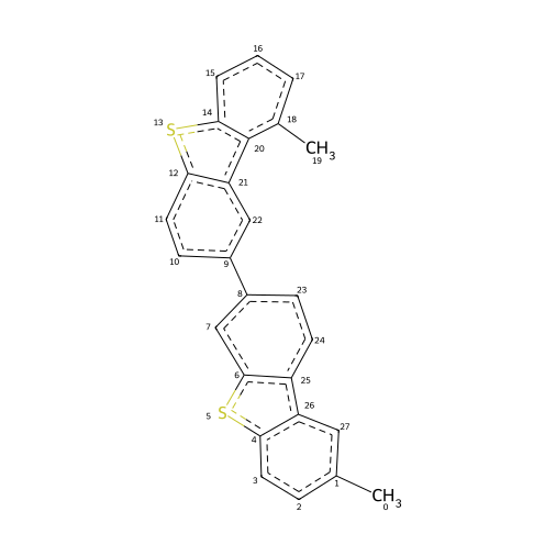 Cc1ccc2sc3cc(-c4ccc5sc6cccc(C)c6c5c4)ccc3c2c1